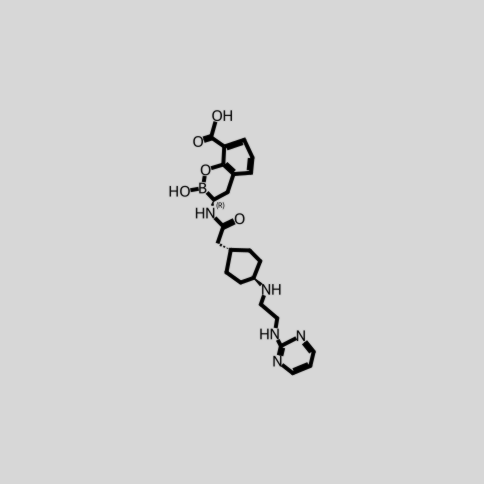 O=C(C[C@H]1CC[C@H](NCCNc2ncccn2)CC1)N[C@H]1Cc2cccc(C(=O)O)c2OB1O